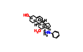 C[C@]12CC[C@H]3[C@@H](CC=C4C[C@H](O)CC[C@@]43C)[C@@H]1CC[C@@H]2Nc1ccccc1.O